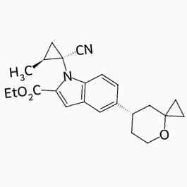 CCOC(=O)c1cc2cc([C@H]3CCOC4(CC4)C3)ccc2n1[C@]1(C#N)C[C@@H]1C